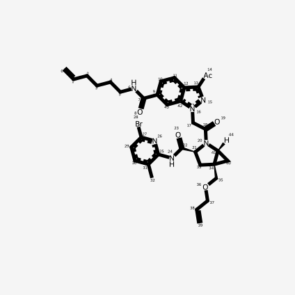 C=CCCCCNC(=O)c1ccc2c(C(C)=O)nn(CC(=O)N3[C@H](C(=O)Nc4nc(Br)ccc4C)C[C@@]4(COCC=C)C[C@@H]34)c2c1